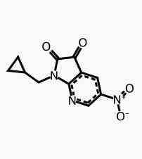 O=C1C(=O)N(CC2CC2)c2ncc([N+](=O)[O-])cc21